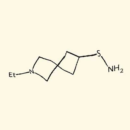 CCN1CC2(CC(SN)C2)C1